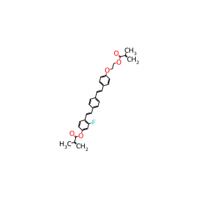 C=C(C)C(=O)OCCOc1ccc(/C=C/c2ccc(/C=C/c3ccc(OC(=O)C(=C)C)cc3F)cc2)cc1